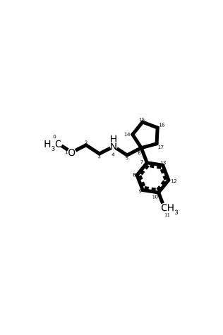 COCCNCC1(c2ccc(C)cc2)CCCC1